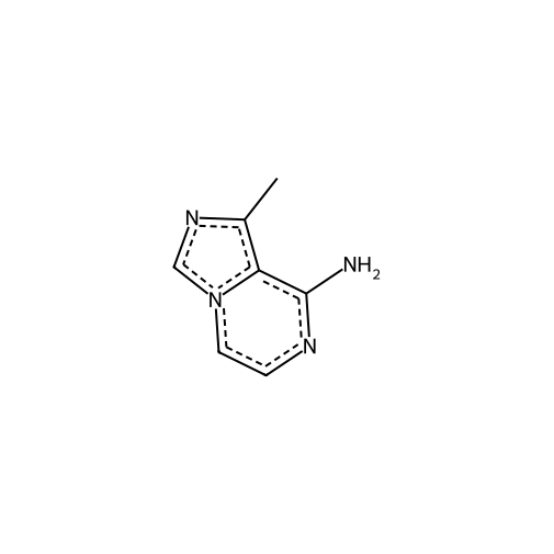 Cc1ncn2ccnc(N)c12